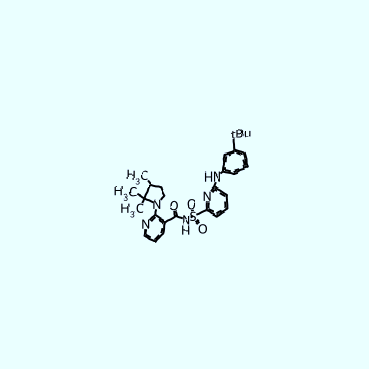 CC1CCN(c2ncccc2C(=O)NS(=O)(=O)c2cccc(Nc3cccc(C(C)(C)C)c3)n2)C1(C)C